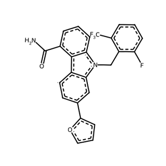 NC(=O)c1cccc2c1c1[c]cc(-c3ccco3)cc1n2Cc1c(F)cccc1C(F)(F)F